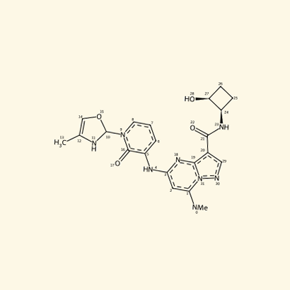 CNc1cc(Nc2cccn(C3NC(C)=CO3)c2=O)nc2c(C(=O)N[C@@H]3CC[C@@H]3O)cnn12